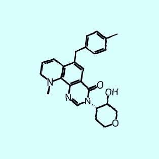 Cc1ccc(Cc2cc3c(=O)n([C@H]4CCOC[C@@H]4O)cnc3c3c2C=CCN3C)cc1